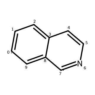 [c]1ccc2ccn[c]c2c1